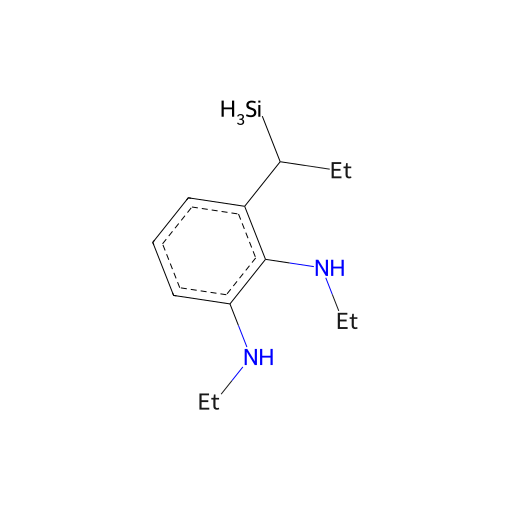 CCNc1cccc(C([SiH3])CC)c1NCC